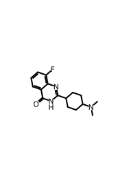 CN(C)C1CCC(c2nc3c(F)cccc3c(=O)[nH]2)CC1